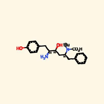 CC(C)(C)N(C(=O)O)[C@@H](Cc1ccccc1)C[C@H](O)[C@@H](N)Cc1ccc(O)cc1